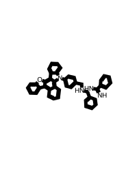 N=C(NC(NCc1ccc(-n2c3ccccc3c3c4oc5ccccc5c4c4ccccc4c32)cc1)c1ccccc1)c1ccccc1